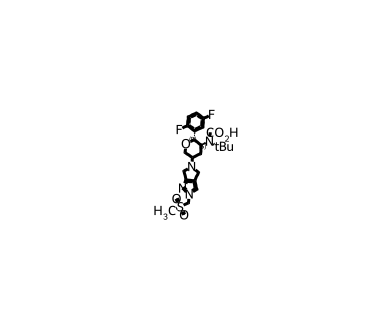 CC(C)(C)N(C(=O)O)[C@H]1CC(N2Cc3cn(CS(C)(=O)=O)nc3C2)CO[C@@H]1c1cc(F)ccc1F